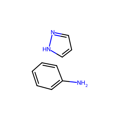 Nc1ccccc1.c1cn[nH]c1